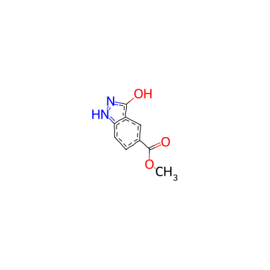 COC(=O)c1ccc2[nH]nc(O)c2c1